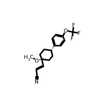 CO[C@]1(C=CC#N)CC[C@H](c2ccc(OC(F)(F)F)cc2)CC1